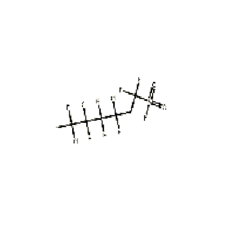 O=S(=O)(F)C(F)(F)CC(F)(Cl)C(F)(F)C(F)(Cl)C(F)(F)Cl